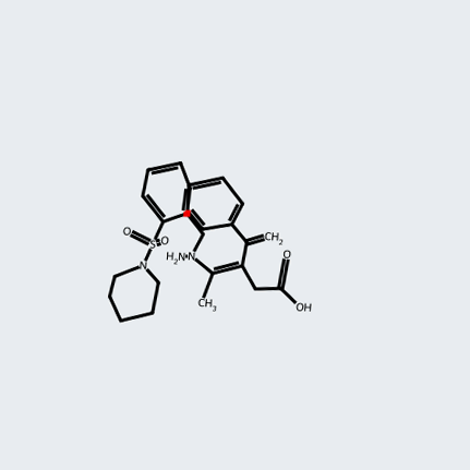 C=C(/C(CC(=O)O)=C(/C)N(N)Cc1ccccc1S(=O)(=O)N1CCCCC1)c1ccccc1